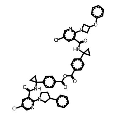 O=C(OC(=O)c1ccc(C2(NC(=O)c3cc(Cl)cnc3N3CCC(c4ccccc4)C3)CC2)cc1)c1ccc(C2(NC(=O)c3cc(Cl)cnc3N3CC(Oc4ccccc4)C3)CC2)cc1